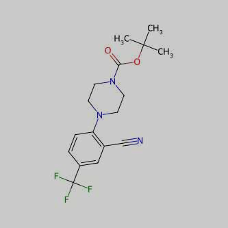 CC(C)(C)OC(=O)N1CCN(c2ccc(C(F)(F)F)cc2C#N)CC1